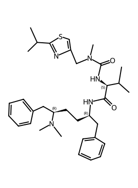 CC(C)c1nc(CN(C)C(=O)N[C@H](C(=O)N[C@H](CC[C@H](Cc2ccccc2)N(C)C)Cc2ccccc2)C(C)C)cs1